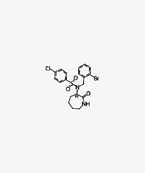 O=C1NCCCC[C@H]1N(Cc1ccccc1Br)S(=O)(=O)c1ccc(Cl)cc1